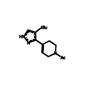 CC(=O)N1CC=C(c2n[nH]cc2C(C)(C)C)CC1